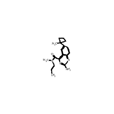 CCCN(C)C(=O)c1nc(N)nc2ccc(C3(C)CCC3)cc12